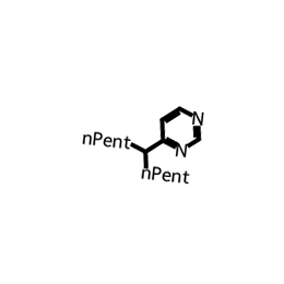 CCCCCC(CCCCC)c1ccncn1